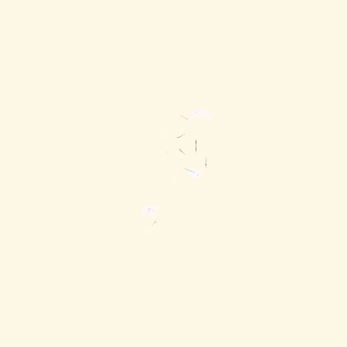 CC[C@H]1[C@@H](CCOc2nccc3cc(C(N)=O)c(OC(C)C)cc23)NC(=O)C1(F)F